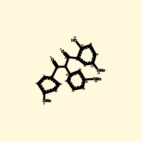 COc1ccc(C(=O)C(C(=O)c2cc(OC)ccc2O)c2cccc(OC)c2)cc1